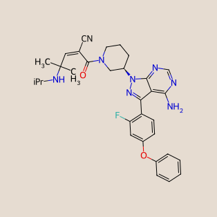 CC(C)NC(C)(C)/C=C(/C#N)C(=O)N1CCC[C@@H](n2nc(-c3ccc(Oc4ccccc4)cc3F)c3c(N)ncnc32)C1